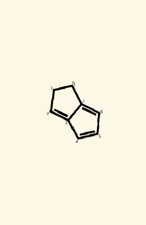 [C]1CC=C2C=CC=C12